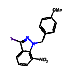 COc1ccc(Cn2nc(I)c3cccc([N+](=O)[O-])c32)cc1